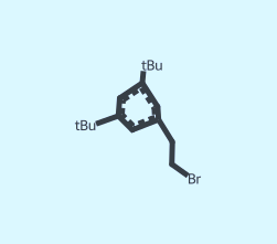 CC(C)(C)c1cc(CCBr)cc(C(C)(C)C)c1